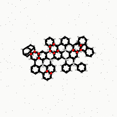 c1ccc(-c2cccc(-c3ccccc3)c2N2c3ccccc3B3c4cc5c(cc4N(c4ccccc4)c4cc(N6C7CC8CC(C7)CC6C8)cc2c43)N(c2c(-c3ccccc3)cccc2-c2ccccc2)c2cc(-n3c4ccccc4c4ccccc43)cc3c2B5c2ccccc2N3c2ccccc2)cc1